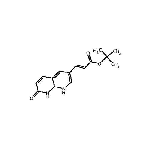 CC(C)(C)OC(=O)/C=C/C1=CNC2NC(=O)C=CC2=C1